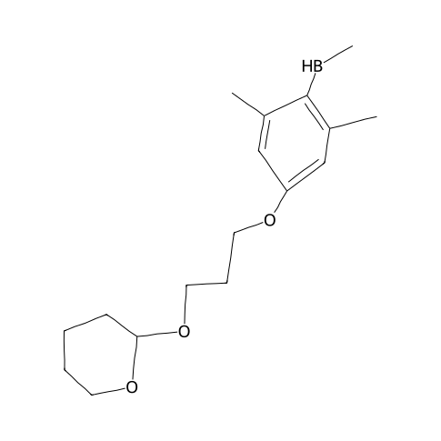 CBc1c(C)cc(OCCCOC2CCCCO2)cc1C